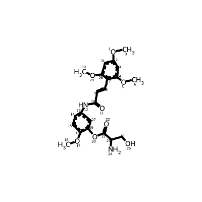 COc1cc(OC)c(C=CC(=O)Nc2ccc(OC)c(OC(=O)C(N)CO)c2)c(OC)c1